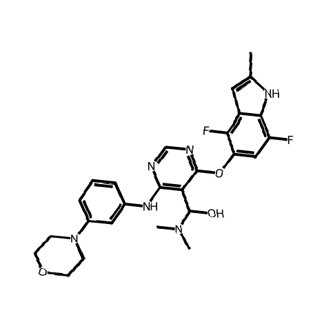 Cc1cc2c(F)c(Oc3ncnc(Nc4cccc(N5CCOCC5)c4)c3C(O)N(C)C)cc(F)c2[nH]1